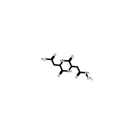 CNC(=O)CC1NC(=O)C(CC(N)=O)NC1=O